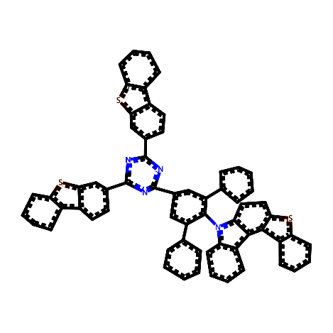 c1ccc(-c2cc(-c3nc(-c4ccc5c(c4)sc4ccccc45)nc(-c4ccc5c(c4)sc4ccccc45)n3)cc(-c3ccccc3)c2-n2c3ccccc3c3c4c(ccc32)sc2ccccc24)cc1